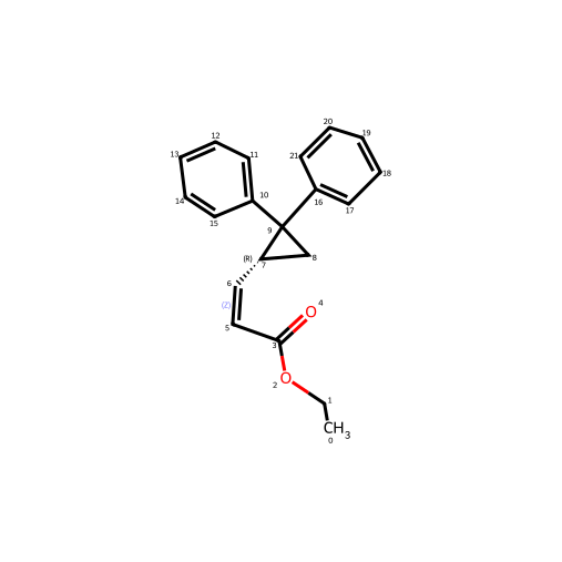 CCOC(=O)/C=C\[C@H]1CC1(c1ccccc1)c1ccccc1